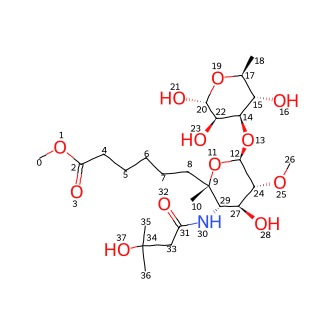 COC(=O)CCCCC[C@]1(C)O[C@@H](O[C@@H]2[C@@H](O)[C@H](C)O[C@@H](O)[C@@H]2O)[C@H](OC)[C@@H](O)[C@@H]1NC(=O)CC(C)(C)O